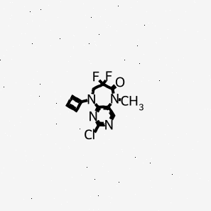 CN1C(=O)C(F)(F)CN(C2=CC=C2)c2nc(Cl)ncc21